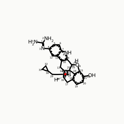 NC(N)=Nc1ccc2[nH]c3c(c2c1)C[C@]1(O)[C@@H]2Cc4ccc(O)c5c4[C@]1(CCN2CC1CC1)[C@@H]3O5